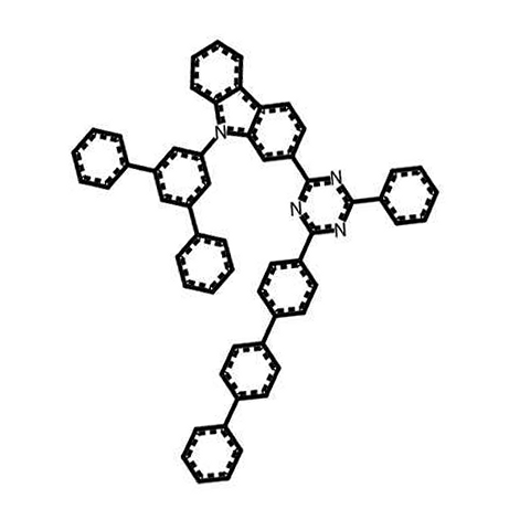 c1ccc(-c2ccc(-c3ccc(-c4nc(-c5ccccc5)nc(-c5ccc6c7ccccc7n(-c7cc(-c8ccccc8)cc(-c8ccccc8)c7)c6c5)n4)cc3)cc2)cc1